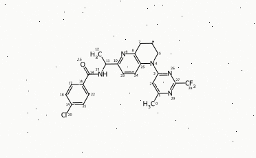 Cc1cc(N2CCCc3nc(C(C)NC(=O)c4ccc(Cl)cc4)ccc32)nc(C(F)(F)F)n1